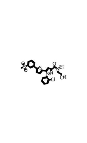 CCN(CCC#N)C(=O)c1cc(-c2ccc(-c3cccc(S(C)(=O)=O)c3)s2)n(-c2ccccc2Cl)n1